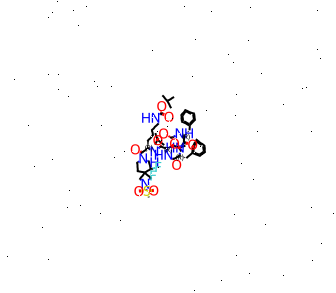 CC(C)C[C@@H](NC(=O)[C@@H](Cc1ccccc1)NC(=O)[C@@H](Cc1ccccc1)NC(=O)OC(C)(C)C)C(=O)N[C@H](CCCCNC(=O)OC(C)(C)C)C(=O)N1CCC2(CN(S(C)(=O)=O)C2)C(F)(F)C1